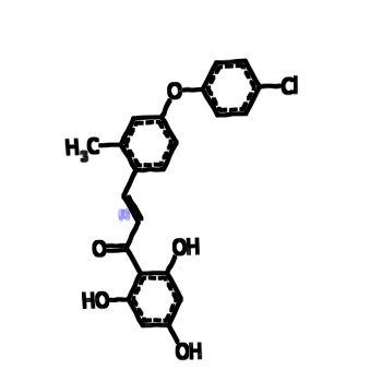 Cc1cc(Oc2ccc(Cl)cc2)ccc1/C=C/C(=O)c1c(O)cc(O)cc1O